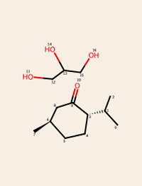 CC(C)[C@@H]1CC[C@@H](C)CC1=O.OCC(O)CO